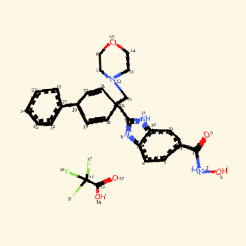 O=C(NO)c1ccc2nc(C3(CN4CCOCC4)C=CC(c4ccccc4)C=C3)[nH]c2c1.O=C(O)C(F)(F)F